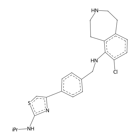 CC(C)Nc1nc(-c2ccc(CNc3c(Cl)ccc4c3CCNCC4)cc2)cs1